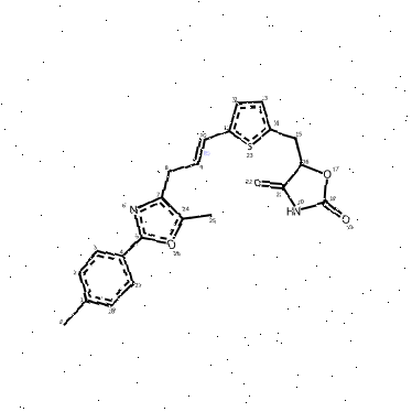 Cc1ccc(-c2nc(C/C=C/c3ccc(CC4OC(=O)NC4=O)s3)c(C)o2)cc1